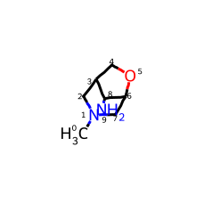 CN1CC2COC(C1)C2N